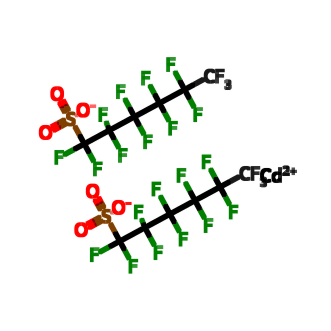 O=S(=O)([O-])C(F)(F)C(F)(F)C(F)(F)C(F)(F)C(F)(F)C(F)(F)F.O=S(=O)([O-])C(F)(F)C(F)(F)C(F)(F)C(F)(F)C(F)(F)C(F)(F)F.[Cd+2]